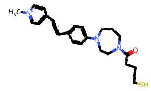 C[n+]1ccc(/C=C/c2ccc(N3CCCN(C(=O)CCCS)CC3)cc2)cc1